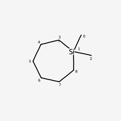 C[Si]1(C)[CH]CCCCC1